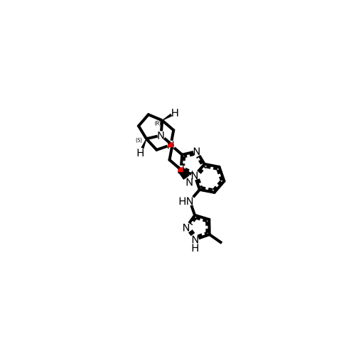 Cc1cc(Nc2cccc3nc(N4C[C@H]5CC[C@@H](C4)N5CCC#N)nn23)n[nH]1